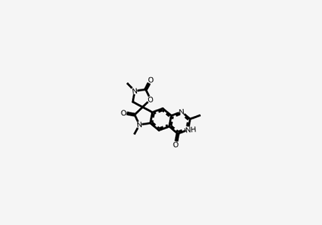 Cc1nc2cc3c(cc2c(=O)[nH]1)N(C)C(=O)C31CN(C)C(=O)O1